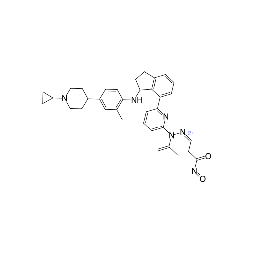 C=C(C)N(/N=C\CC(=O)N=O)c1cccc(-c2cccc3c2C(Nc2ccc(C4CCN(C5CC5)CC4)cc2C)CC3)n1